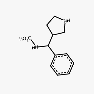 O=C(O)N[C](c1ccccc1)C1CCNC1